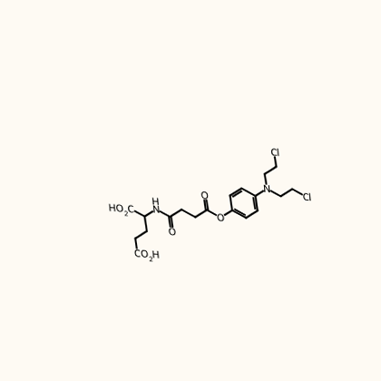 O=C(O)CCC(NC(=O)CCC(=O)Oc1ccc(N(CCCl)CCCl)cc1)C(=O)O